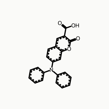 O=C(O)c1cc2ccc(N(c3ccccc3)c3ccccc3)cc2oc1=O